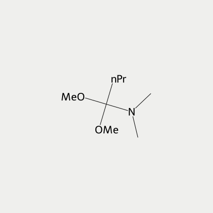 CCCC(OC)(OC)N(C)C